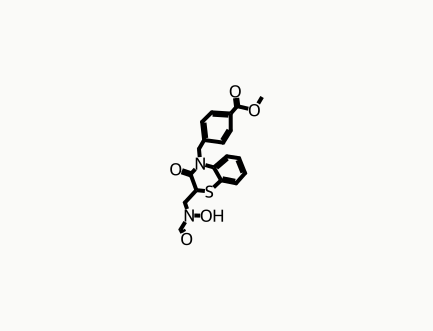 COC(=O)c1ccc(CN2C(=O)C(CN(O)C=O)Sc3ccccc32)cc1